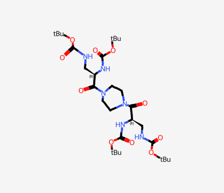 CC(C)(C)OC(=O)NC[C@@H](NC(=O)OC(C)(C)C)C(=O)N1CCN(C(=O)[C@@H](CNC(=O)OC(C)(C)C)NC(=O)OC(C)(C)C)CC1